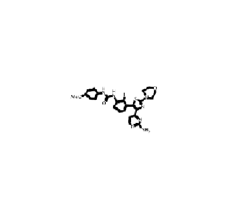 COc1ccc(NC(=O)Nc2cccc(-c3sc(N4CCOCC4)nc3-c3ccnc(N)n3)c2F)cc1